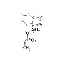 C=CC(=O)O[SiH2]C1(C(C)C)CCCCC1C(C)C